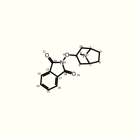 CN1C2CCC1CC(ON1C(=O)c3ccccc3C1=O)C2